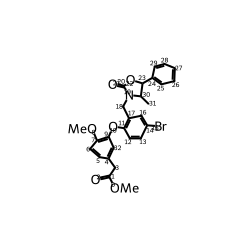 COC(=O)Cc1ccc(OC)c(Oc2ccc(Br)cc2CN2C(=O)OC(c3ccccc3)C2C)c1